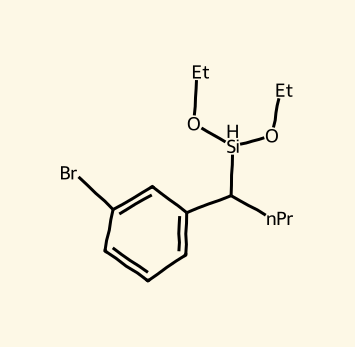 CCCC(c1cccc(Br)c1)[SiH](OCC)OCC